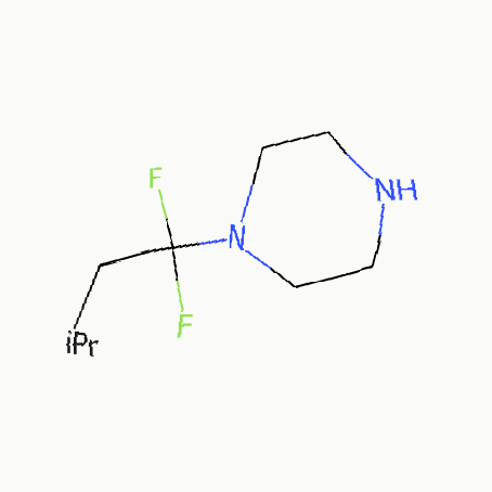 CC(C)CC(F)(F)N1CCNCC1